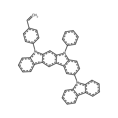 C=Cc1ccc(-n2c3ccccc3c3cc4c5cc(-n6c7ccccc7c7ccccc76)ccc5n(-c5ccccc5)c4cc32)cc1